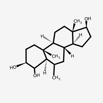 CC1C[C@@H]2[C@H](CC[C@]3(C)[C@@H](O)CC[C@@H]23)[C@@]2(C)CC[C@H](O)C(O)[C@H]12